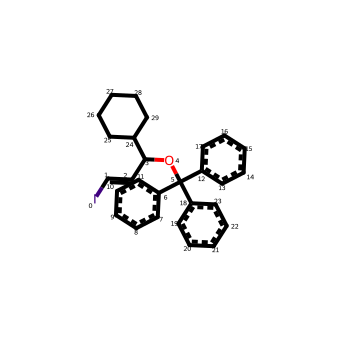 IC=CC(OC(c1ccccc1)(c1ccccc1)c1ccccc1)C1CCCCC1